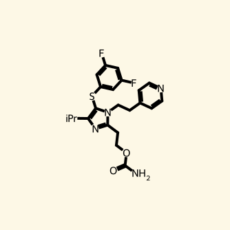 CC(C)c1nc(CCOC(N)=O)n(CCc2ccncc2)c1Sc1cc(F)cc(F)c1